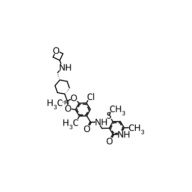 CSc1cc(C)[nH]c(=O)c1CNC(=O)c1cc(Cl)c2c(c1C)O[C@@](C)([C@H]1CC[C@@H](CNC3COC3)CC1)O2